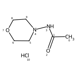 CC(=O)NN1CCOCC1.Cl